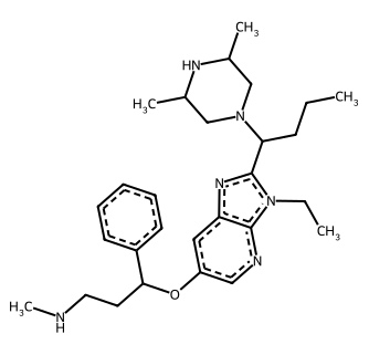 CCCC(c1nc2cc(OC(CCNC)c3ccccc3)cnc2n1CC)N1CC(C)NC(C)C1